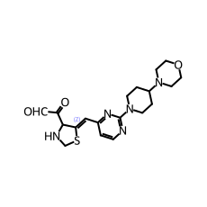 O=CC(=O)C1NCS/C1=C\c1ccnc(N2CCC(N3CCOCC3)CC2)n1